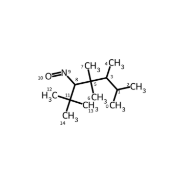 CC(C)C(C)C(C)(C)C(N=O)C(C)(C)C